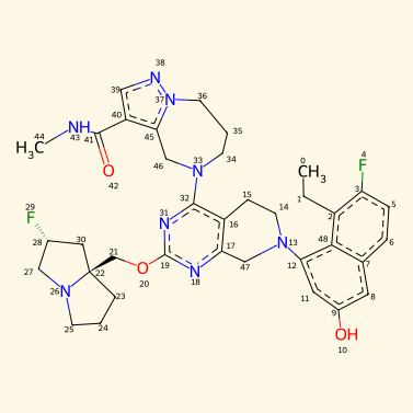 CCc1c(F)ccc2cc(O)cc(N3CCc4c(nc(OC[C@@]56CCCN5C[C@H](F)C6)nc4N4CCCn5ncc(C(=O)NC)c5C4)C3)c12